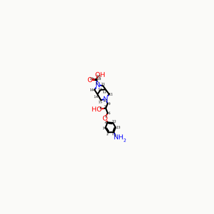 Nc1ccc(OCC(O)CN2CC3CC(C2)CN(C(=O)O)C3)cc1